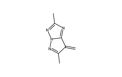 C=c1c(C)nn2nc(C)nc12